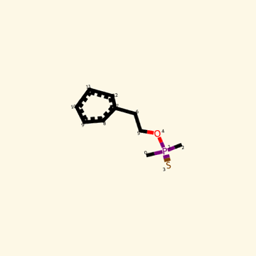 CP(C)(=S)OCCc1ccccc1